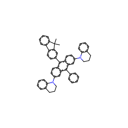 CC1(C)c2ccccc2-c2ccc(-c3c4ccc(N5CCCc6ccccc65)cc4c(-c4ccccc4)c4cc(N5CCCc6ccccc65)ccc34)cc21